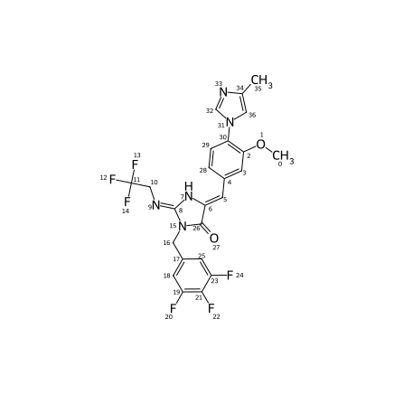 COc1cc(/C=C2\N/C(=N\CC(F)(F)F)N(Cc3cc(F)c(F)c(F)c3)C2=O)ccc1-n1cnc(C)c1